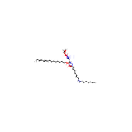 CCCCCCCC/C=C\CCCCCCCC(=O)N[C@@H](CCNC(=O)OC(C)(C)C)C(=O)CCCCCCCCCCCCCCCC